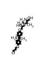 C/C(=C(/N)CO)N(N)CC(O)COc1ccc(C(C)(C)c2ccc(OCCCCl)cc2)cc1